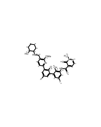 COc1nc(-c2cc(F)cc(-c3cc(F)cc(NC(=O)c4ccnn(C)c4=O)c3C)c2Cl)ccc1CNC1CCCCC1O